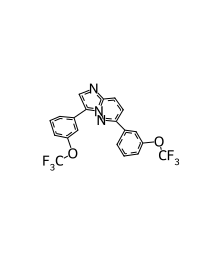 FC(F)(F)Oc1cccc(-c2ccc3ncc(-c4cccc(OC(F)(F)F)c4)n3n2)c1